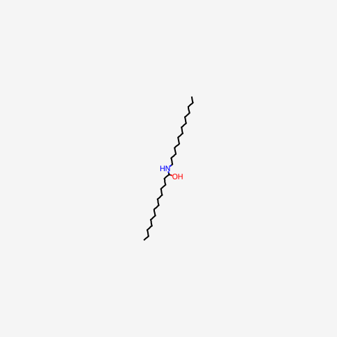 CCCCCCCCCCCCCCNC(O)CCCCCCCCCCCCC